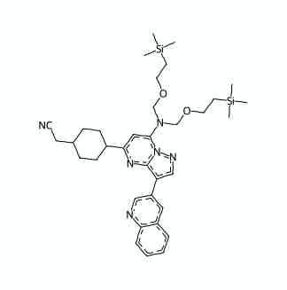 C[Si](C)(C)CCOCN(COCC[Si](C)(C)C)c1cc(C2CCC(CC#N)CC2)nc2c(-c3cnc4ccccc4c3)cnn12